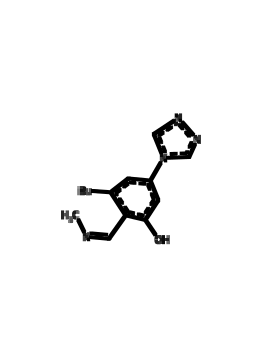 CCC(C)c1cc(-n2cnnc2)cc(O)c1/C=N\C